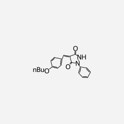 CCCCOc1ccc(C=C2C(=O)NN(c3ccccc3)C2=O)cc1